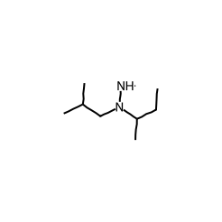 CCC(C)N([NH])CC(C)C